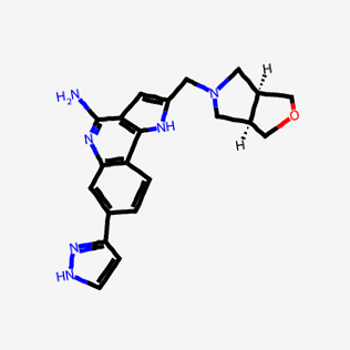 Nc1nc2cc(-c3cc[nH]n3)ccc2c2[nH]c(CN3C[C@H]4COC[C@H]4C3)cc12